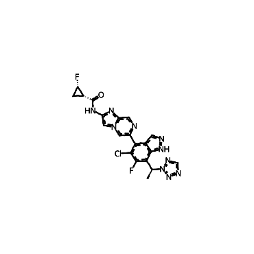 C[C@@H](c1c(F)c(Cl)c(-c2cn3cc(NC(=O)[C@@H]4C[C@@H]4F)nc3cn2)c2cn[nH]c12)n1ncnn1